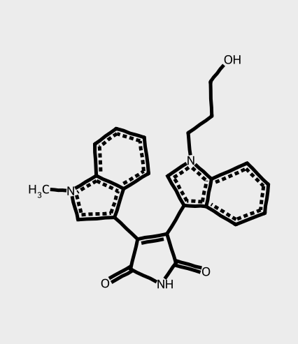 Cn1cc(C2=C(c3cn(CCCO)c4ccccc34)C(=O)NC2=O)c2ccccc21